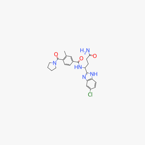 Cc1cc(C(=O)NC(CCC(N)=O)c2nc3cc(Cl)ccc3[nH]2)ccc1C(=O)N1CCCC1